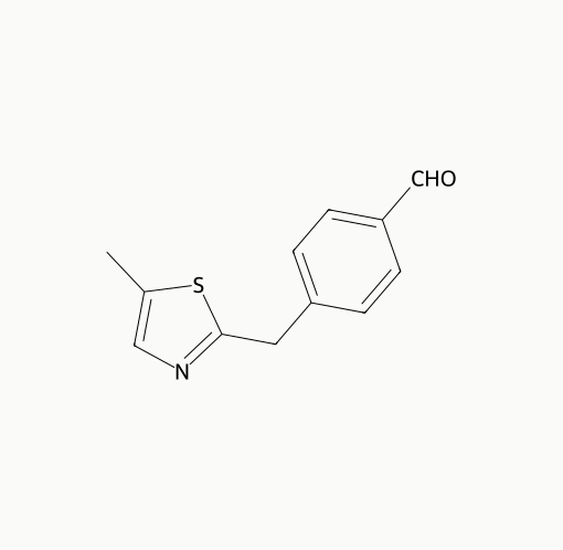 Cc1cnc(Cc2ccc(C=O)cc2)s1